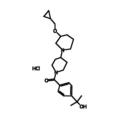 CC(C)(O)c1ccc(C(=O)N2CCC(N3CCCC(OCC4CC4)C3)CC2)cc1.Cl